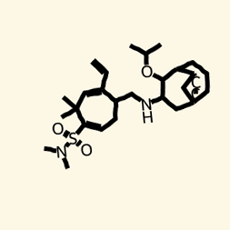 C=CC1=CC(C)(C)C(S(=O)(=O)N(C)C)=CCC1CNC1CC23CCCC(C(CC2)C3)C1OC(C)C